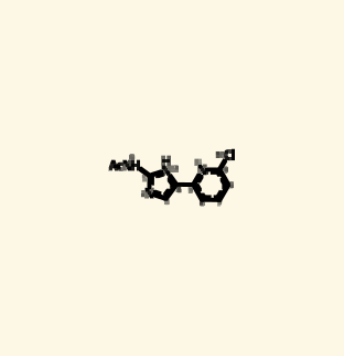 CC(=O)Nc1ncc(-c2cccc(Cl)n2)[nH]1